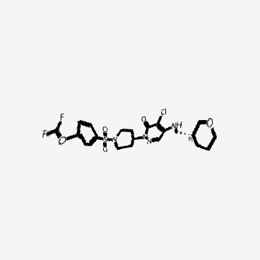 O=c1c(Cl)c(NC[C@H]2CCCOC2)cnn1C1CCN(S(=O)(=O)c2ccc(OC(F)F)cc2)CC1